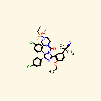 CCOc1ccc(C(C)(C)C#N)cc1C1=N[C@@H](c2ccc(Cl)cc2)[C@@H](c2ccc(Cl)cc2)N1C(=O)N1CCN(S(=O)(=O)CC)CC1